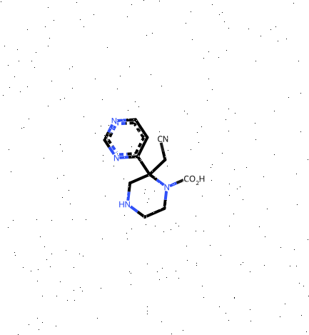 N#CCC1(c2ccncn2)CNCCN1C(=O)O